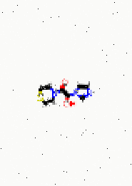 O=C(C(O)n1c[c]nc1)N1CCSCC1